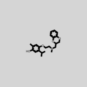 Cc1cc(OCCN(C)CC2COc3ccccc3O2)c(C(C)C)cc1O